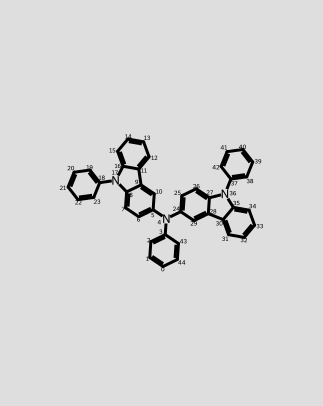 c1ccc(N(c2ccc3c(c2)c2ccccc2n3-c2ccccc2)c2ccc3c(c2)c2ccccc2n3-c2ccccc2)cc1